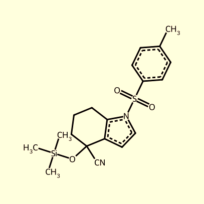 Cc1ccc(S(=O)(=O)n2ccc3c2CCCC3(C#N)O[Si](C)(C)C)cc1